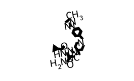 Cc1cnn(-c2ccc(CN3CCC(CC#N)(n4cc(C(N)=O)c(NC(=O)C5CC5)n4)CC3)cc2)n1